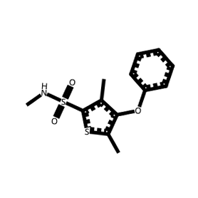 CNS(=O)(=O)c1sc(C)c(Oc2ccccc2)c1C